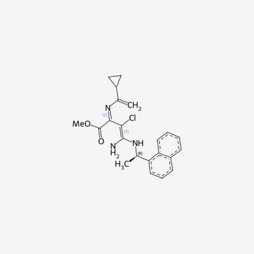 C=C(/N=C(C(=O)OC)\C(Cl)=C(/N)N[C@H](C)c1cccc2ccccc12)C1CC1